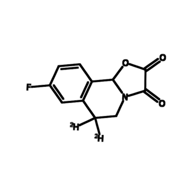 [2H]C1([2H])CN2C(=O)C(=O)OC2c2ccc(F)cc21